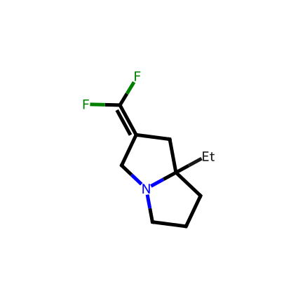 CCC12CCCN1CC(=C(F)F)C2